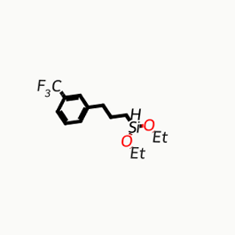 CCO[SiH](CCCc1cccc(C(F)(F)F)c1)OCC